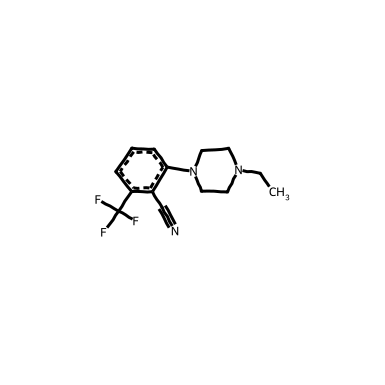 CCN1CCN(c2cccc(C(F)(F)F)c2C#N)CC1